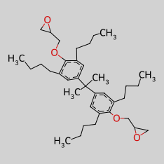 CCCCc1cc(C(C)(C)c2cc(CCCC)c(OCC3CO3)c(CCCC)c2)cc(CCCC)c1OCC1CO1